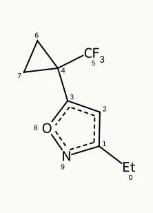 CCc1cc(C2(C(F)(F)F)CC2)on1